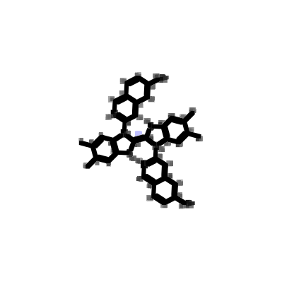 Cc1cc2c(cc1C)N(c1cc3cc(C(C)C)ccc3cn1)/C(=C1\Sc3cc(C)c(C)cc3N1c1cc3cc(C(C)C)ccc3cn1)S2